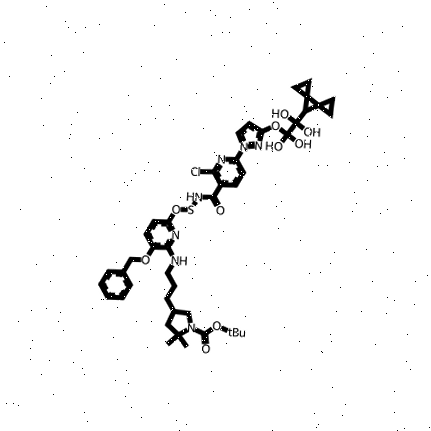 CC(C)(C)OC(=O)N1CC(CCCNc2nc(OSNC(=O)c3ccc(-n4ccc(OC(O)(O)C(O)(O)C5C6(CC6)C56CC6)n4)nc3Cl)ccc2OCc2ccccc2)CC1(C)C